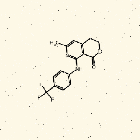 Cc1cc2c(c(Nc3ccc(C(F)(F)F)cc3)n1)C(=O)OCC2